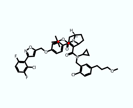 COCCCc1ccc(Cl)c(CN(C(=O)C2=C(c3ccc(OCc4cc(-c5c(F)ccc(F)c5Cl)no4)cc3)C[C@@H]3CCC2N3C(=O)OC(C)(C)C)C2CC2)c1